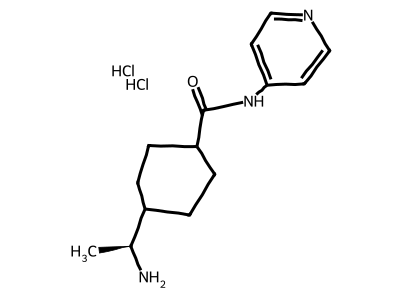 C[C@H](N)C1CCC(C(=O)Nc2ccncc2)CC1.Cl.Cl